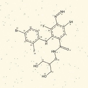 N=Nc1c(S)cc(C(=O)NOC(CO)CO)c(Nc2ccc(Br)cc2F)c1F